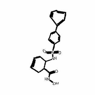 O=C(NO)C1CC=CCC1NS(=O)(=O)c1ccc(-c2ccccc2)cc1